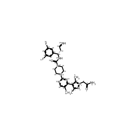 Cc1nn(CC(N)=O)c(C)c1-c1nc(N2CCN(C(=O)N[C@@H](CC=N)c3cc(F)cc(F)c3)CC2)ncc1F